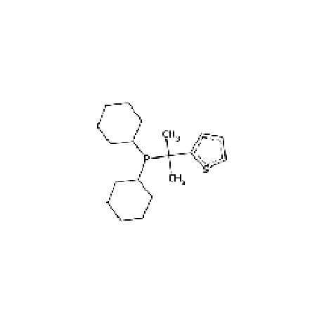 CC(C)(c1cccs1)P(C1CCCCC1)C1CCCCC1